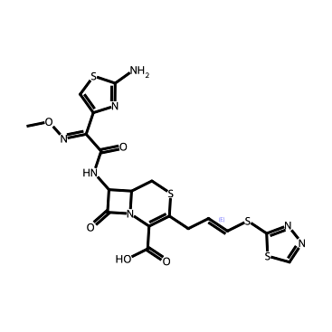 CON=C(C(=O)NC1C(=O)N2C(C(=O)O)=C(C/C=C/Sc3nncs3)SCC12)c1csc(N)n1